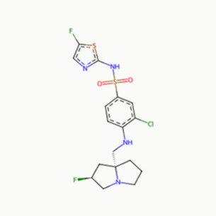 O=S(=O)(Nc1ncc(F)s1)c1ccc(NC[C@]23CCCN2C[C@@H](F)C3)c(Cl)c1